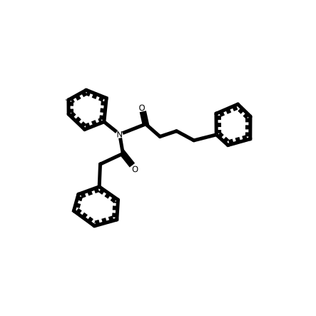 O=C(CCCc1ccccc1)N(C(=O)Cc1ccccc1)c1cc[c]cc1